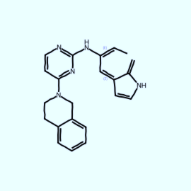 C=c1[nH]cc/c1=C/C(=C\C)Nc1nccc(N2CCc3ccccc3C2)n1